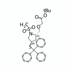 CC(C)(C)OC(=O)COC[C@@H]1C[C@@H](SC(c2ccccc2)(c2ccccc2)c2ccccc2)CN1S(C)(=O)=O